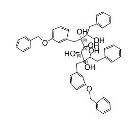 OC(Cc1ccccc1)[C@](O)(Cc1cccc(OCc2ccccc2)c1)[C@@H](O)[C@H](O)[C@@](O)(Cc1cccc(OCc2ccccc2)c1)C(O)Cc1ccccc1